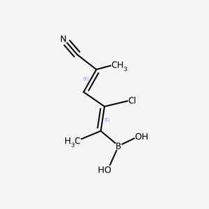 C/C(C#N)=C\C(Cl)=C(/C)B(O)O